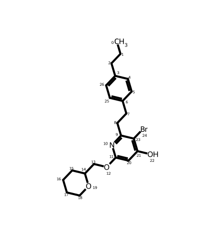 CCCc1ccc(CCc2nc(OCC3CCCCO3)cc(O)c2Br)cc1